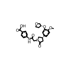 COc1ccc([C@@H]2CC(=O)N(CC(=O)Nc3ccc(C(=O)O)cc3)C2)cc1O[C@@H]1CCOC1